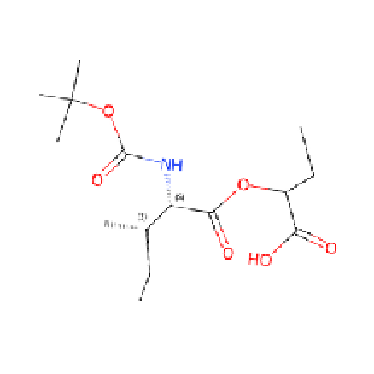 CCC(OC(=O)[C@@H](NC(=O)OC(C)(C)C)[C@@H](C)CC)C(=O)O